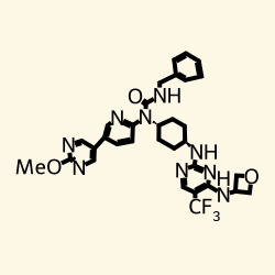 COc1ncc(-c2ccc(N(C(=O)NCc3ccccc3)[C@H]3CC[C@H](Nc4ncc(C(F)(F)F)c(NC5COC5)n4)CC3)nc2)cn1